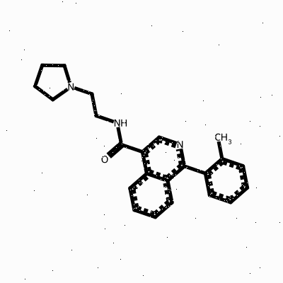 Cc1ccccc1-c1ncc(C(=O)NCCN2CCCC2)c2ccccc12